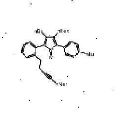 CCCCCCCCCC#CCCc1ccccc1C1=C(CCCC)C(CCCCCC)=C(c2ccc(CCCC)cc2)[N+]1=[N-]